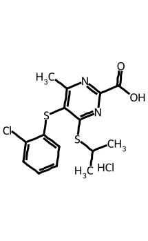 Cc1nc(C(=O)O)nc(SC(C)C)c1Sc1ccccc1Cl.Cl